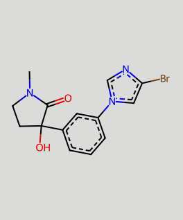 CN1CCC(O)(c2cccc(-n3cnc(Br)c3)c2)C1=O